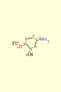 CCOc1ccc(N)cc1C#N